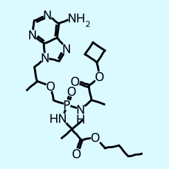 CCCCOC(=O)C(C)(C)NP(=O)(COC(C)Cn1cnc2c(N)ncnc21)NC(C)C(=O)OC1CCC1